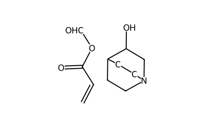 C=CC(=O)OC=O.OC1CN2CCC1CC2